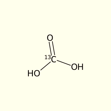 O=[13C](O)O